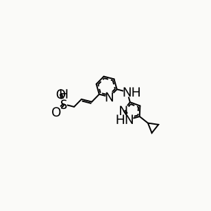 O=[SH](=O)C/C=C/c1cccc(Nc2cc(C3CC3)[nH]n2)n1